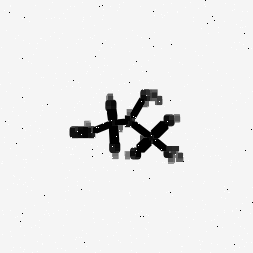 CN(S(=O)(=O)C=O)S(=O)(=O)C(F)(F)F